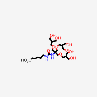 O=C(O)CCCCCNC(=O)NC(COCC(CO)CO)(COCC(CO)CO)COCC(CO)CO